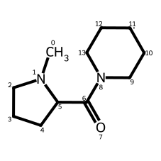 CN1CCCC1C(=O)N1CC[CH]CC1